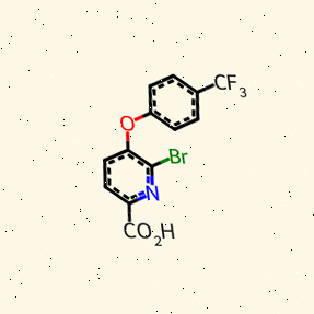 O=C(O)c1ccc(Oc2ccc(C(F)(F)F)cc2)c(Br)n1